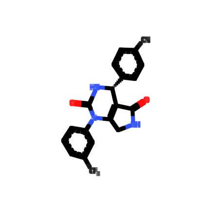 N#Cc1ccc([C@H]2NC(=O)N(c3cccc(C(F)(F)F)c3)C3=C2C(=O)NC3)cc1